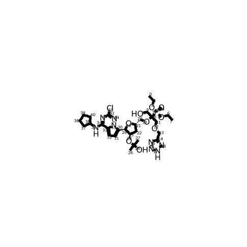 CCOP(=O)(OCC)C(CO)(COCc1nn[nH]n1)OC[C@@H]1C[C@@H](OC(C)(C)O)[C@@H](c2ccc3c(NC4CCCC4)nc(Cl)nn23)O1